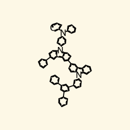 c1ccc(-c2cc(-c3ccccc3)cc(-c3cccc(-n4c5ccccc5c5cc(-c6ccc7c(c6)c6cc(-c8ccccc8)ccc6n7-c6ccc(N(c7ccccc7)c7ccccc7)cc6)ccc54)c3)c2)cc1